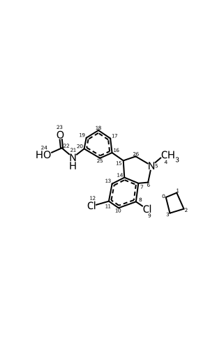 C1CCC1.CN1Cc2c(Cl)cc(Cl)cc2C(c2cccc(NC(=O)O)c2)C1